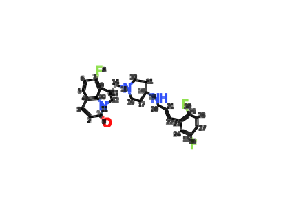 O=c1ccc2ccc(F)c3c2n1C[C@H]3CN1CCC(NCC=Cc2cc(F)ccc2F)CC1